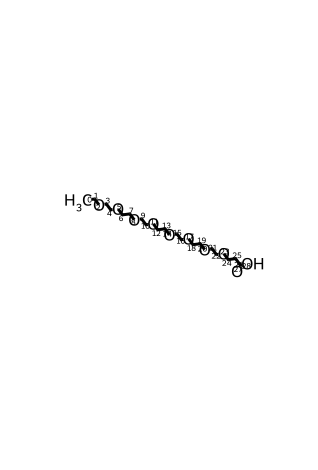 CCOCCOCCOCCOCCOCCOCCOCCOCCC(=O)O